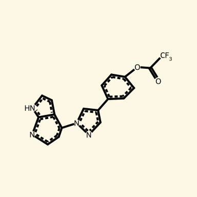 O=C(Oc1ccc(-c2cnn(-c3ccnc4[nH]ccc34)c2)cc1)C(F)(F)F